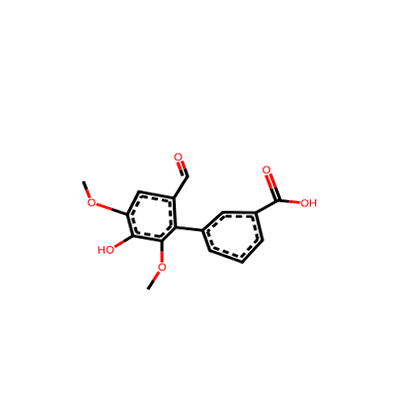 COc1cc(C=O)c(-c2cccc(C(=O)O)c2)c(OC)c1O